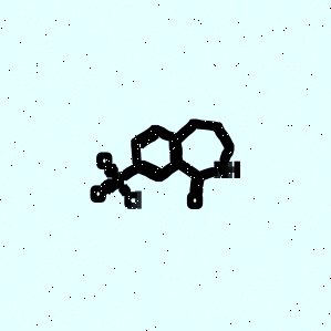 O=C1NCCCc2ccc(S(=O)(=O)Cl)cc21